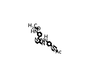 C=CC(=O)Nc1cccc(-c2nccc3cnc(Nc4ccc(N5CCN(C(C)=O)CC5)cc4)nc23)c1